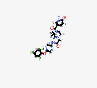 C[C@@H](C(=O)Nc1cnc(Oc2c(F)cc(F)cc2F)cn1)N1CCN(C(=O)c2ccc(=O)[nH]c2)C(C)(C)C1